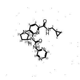 O=C(NCC1CC1)c1ccc2c(n1)N(C(=O)Nc1cnccn1)[C@H]1CCN2C1